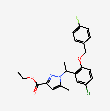 CCOC(=O)c1cc(C)n(C(C)c2cc(Cl)ccc2OCc2ccc(F)cc2)n1